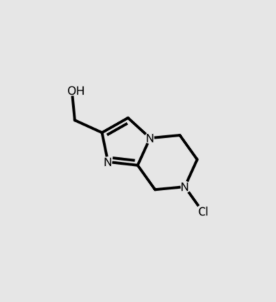 OCc1cn2c(n1)CN(Cl)CC2